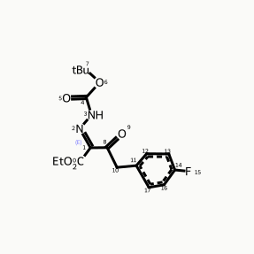 CCOC(=O)/C(=N/NC(=O)OC(C)(C)C)C(=O)Cc1ccc(F)cc1